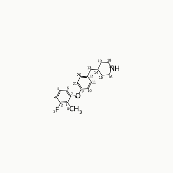 Cc1c(F)cccc1Oc1ccc(CC2CCNCC2)cc1